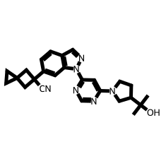 CC(C)(O)C1CCN(c2cc(-n3ncc4ccc(C5(C#N)CC6(CC6)C5)cc43)ncn2)C1